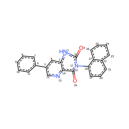 O=c1[nH]c2cc(-c3ccccc3)cnc2c(=O)n1-c1cccc2ccccc12